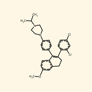 COc1ccc2c(c1)CCC(c1ccc(Cl)cc1Cl)=C2c1ccc(N2CCN(C(C)C)CC2)cc1